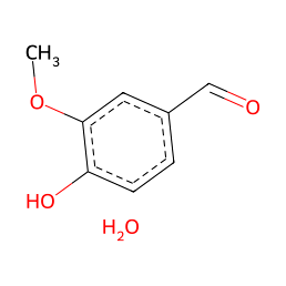 COc1cc(C=O)ccc1O.O